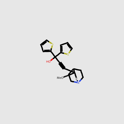 COC1(C#CC(O)(c2cccs2)c2cccs2)CN2CCC1CC2